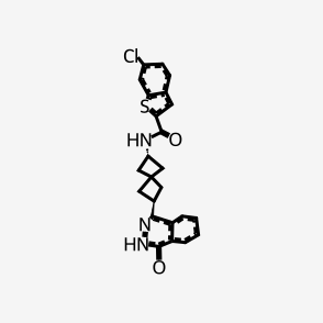 O=C(N[C@H]1CC2(C1)C[C@H](c1n[nH]c(=O)c3ccccc31)C2)c1cc2ccc(Cl)cc2s1